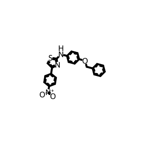 O=[N+]([O-])c1ccc(-c2csc(Nc3ccc(OCc4ccccc4)cc3)n2)cc1